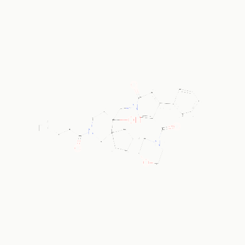 O=C(CCC(F)(F)F)N1CCC(O)(Cn2cc(C(=O)N3CCOCC3)c(-c3ccccc3)cc2=O)C2(CCCC2)C1